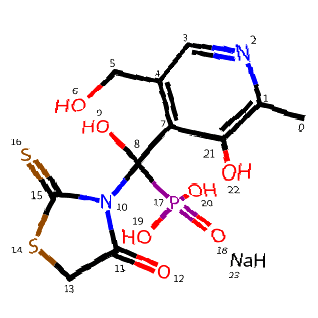 Cc1ncc(CO)c(C(O)(N2C(=O)CSC2=S)P(=O)(O)O)c1O.[NaH]